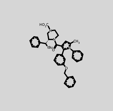 Cc1cc(C(=O)N2CCN(C(=O)O)C[C@H]2C(c2ccccc2)C(C)(C)C)c(-c2cccc(OCc3ccccc3)c2)n1-c1ccccc1